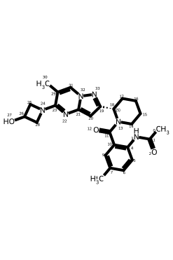 CC(=O)Nc1ccc(C)cc1C(=O)N1CCCC[C@H]1c1cc2nc(N3CC(O)C3)c(C)cn2n1